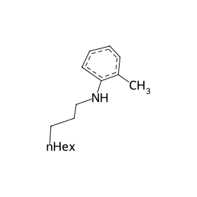 CCCCCCCCCNc1ccccc1C